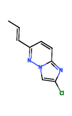 CC=Cc1ccc2nc(Cl)cn2n1